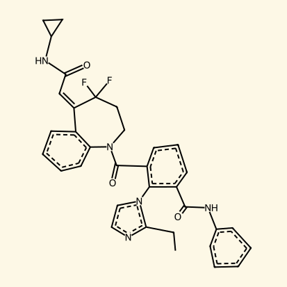 CCc1nccn1-c1c(C(=O)Nc2ccccc2)cccc1C(=O)N1CCC(F)(F)C(=CC(=O)NC2CC2)c2ccccc21